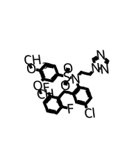 COc1ccc(S(=O)(=O)N(CCn2cncn2)c2ccc(Cl)cc2Cc2c(F)cccc2F)cc1OC